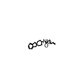 C=CCOC(=O)NC1CCC2(CC1)Cc1ccccc1C2